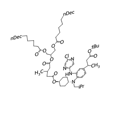 CCCCCCCCCCCCCCCC(=O)OCC(COC(=O)CCCCCCCCCCCCCCC)OC(=O)CC(C)CC(=O)O[C@H]1CC[C@H](N(CC(C)C)c2ccc(C(C)CC(=O)OC(C)(C)C)cc2Nc2cnc(Cl)cn2)CC1